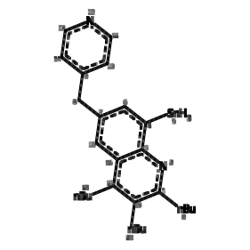 CCCCc1nc2[c]([SnH3])cc(Cc3ccncc3)cc2c(CCCC)c1CCCC